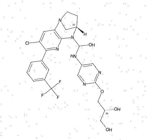 OC[C@@H](O)COc1ncc(NC(O)N2c3nc(-c4cccc(C(F)(F)F)c4)c(Cl)cc3N3CC[C@H]2C3)cn1